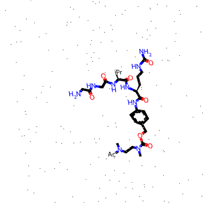 CC(=O)N(C)CCN(C)C(=O)OCc1ccc(NC(=O)[C@H](CCCNC(N)=O)NC(=O)[C@@H](NC(=O)CNC(=O)CN)C(C)C)cc1